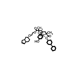 CC(C)(CC(CC(C)(C)C(=O)Oc1ccc(-c2ccccc2)cc1)c1ccc(O)cc1)C(=O)OCCOC1CCC2C=CCC2C1